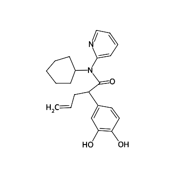 C=CCC(C(=O)N(c1ccccn1)C1CCCCC1)c1ccc(O)c(O)c1